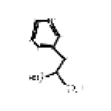 O=C(O)C(Cc1cccnc1)C(=O)O